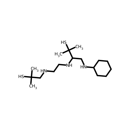 CC(C)(S)CNCCNC(CNC1CCCCC1)C(C)(C)S